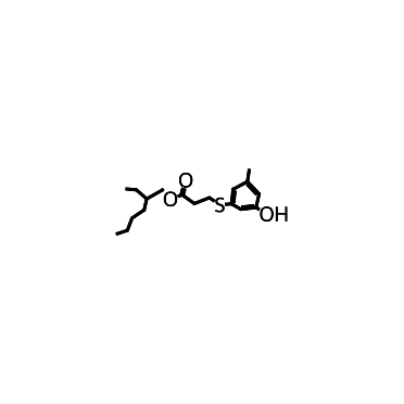 CCCCC(CC)COC(=O)CCSc1cc(C)cc(O)c1